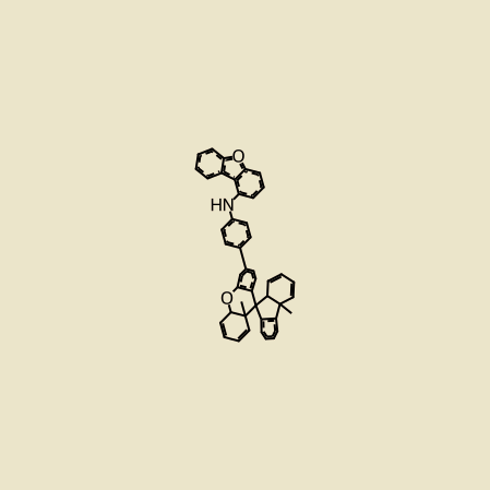 CC12C=CC=CC1C1(c3ccc(-c4ccc(Nc5cccc6oc7ccccc7c56)cc4)cc3OC3C=CC=CC31C)c1ccccc12